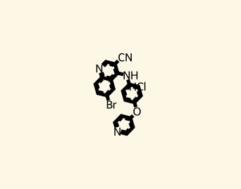 Cl.N#Cc1cnc2ccc(Br)cc2c1Nc1ccc(Oc2ccncc2)cc1